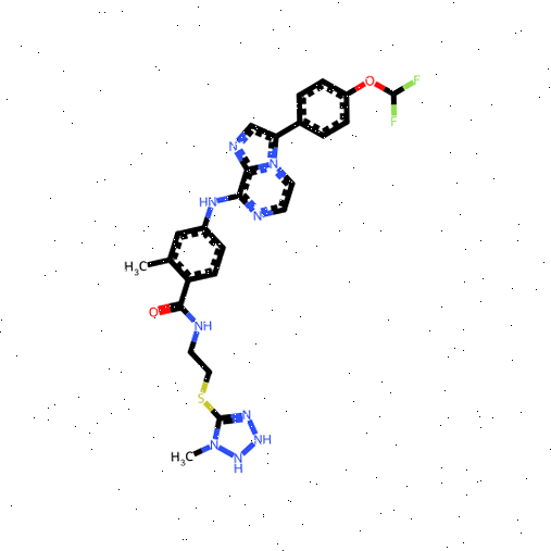 Cc1cc(Nc2nccn3c(-c4ccc(OC(F)F)cc4)cnc23)ccc1C(=O)NCCSC1=NNNN1C